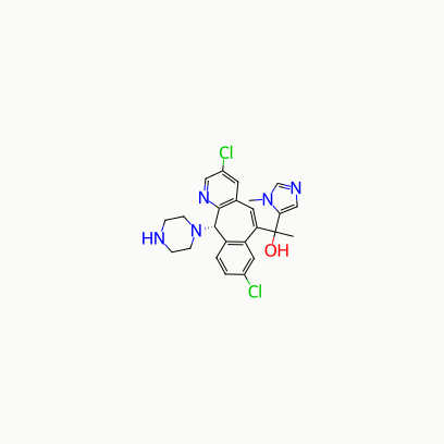 Cn1cncc1C(C)(O)C1=Cc2cc(Cl)cnc2[C@@H](N2CCNCC2)c2ccc(Cl)cc21